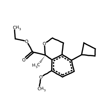 CCOC(=O)[C@@]1(C)OCCc2c(C3CCC3)ccc(OC)c21